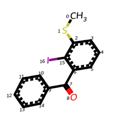 CSc1cccc(C(=O)c2ccccc2)c1I